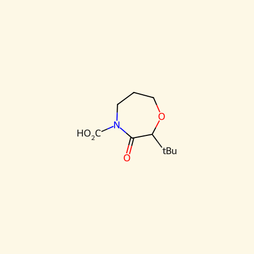 CC(C)(C)C1OCCCN(C(=O)O)C1=O